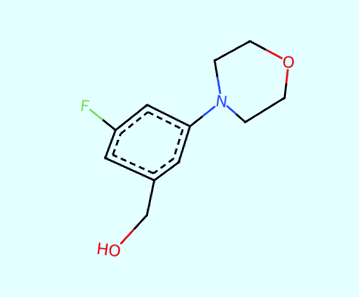 OCc1cc(F)cc(N2CCOCC2)c1